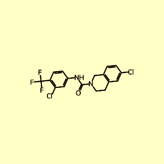 O=C(Nc1ccc(C(F)(F)F)c(Cl)c1)N1CCc2cc(Cl)ccc2C1